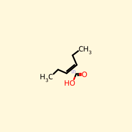 CC/C=C\CC.O=CO